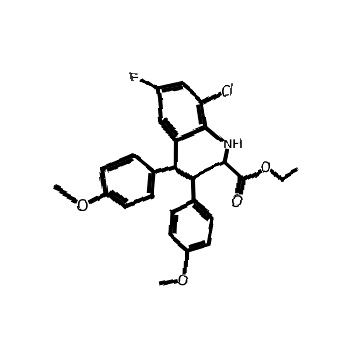 CCOC(=O)C1Nc2c(Cl)cc(F)cc2C(c2ccc(OC)cc2)C1c1ccc(OC)cc1